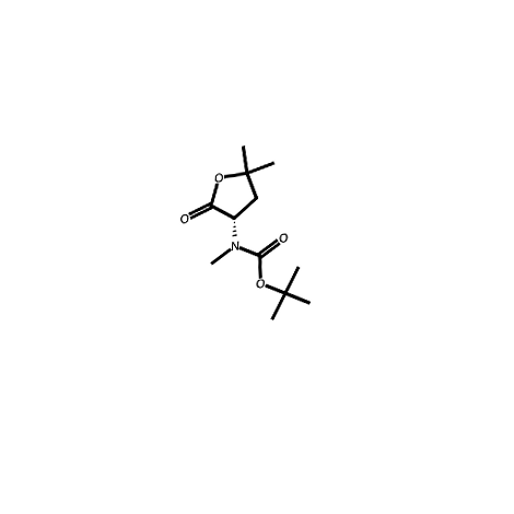 CN(C(=O)OC(C)(C)C)[C@H]1CC(C)(C)OC1=O